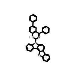 c1ccc(C2=NC(n3c4ccccc4c4c5oc6ccccc6c5ccc43)Nc3ccc(-c4ccccc4)cc32)cc1